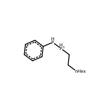 CCCCCCCC[PH3]Pc1ccccc1